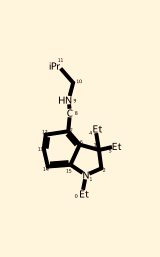 CCN1CC(CC)(CC)c2c(CNCC(C)C)cccc21